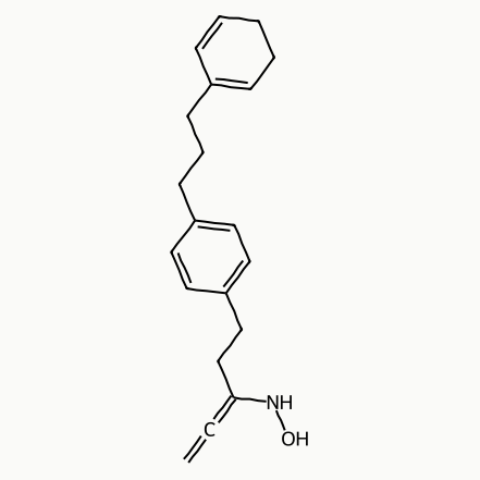 C=C=C(CCc1ccc(CCCC2=CCCC=C2)cc1)NO